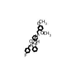 COc1ccc(OC)c(CC[N+]23CCC(CC2)[C@@H](OC(=O)N(Cc2ccc(F)cc2)c2ccccc2F)C3)c1